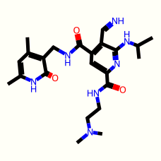 Cc1cc(C)c(CNC(=O)c2cc(C(=O)NCCN(C)C)nc(NC(C)C)c2C=N)c(=O)[nH]1